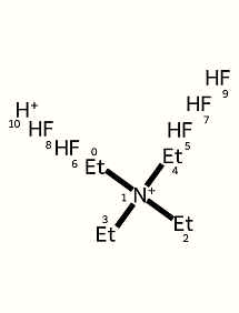 CC[N+](CC)(CC)CC.F.F.F.F.F.[H+]